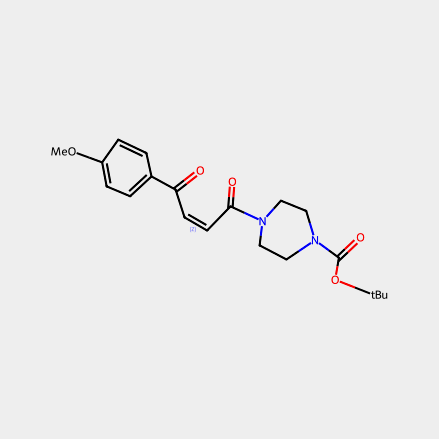 COc1ccc(C(=O)/C=C\C(=O)N2CCN(C(=O)OC(C)(C)C)CC2)cc1